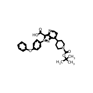 CC(C)(C)OC(=O)N1CCC(c2ccnc3c(C(=O)O)n(-c4ccc(Oc5ccccc5)cc4)nc23)CC1